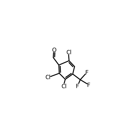 O=Cc1c(Cl)cc(C(F)(F)F)c(Cl)c1Cl